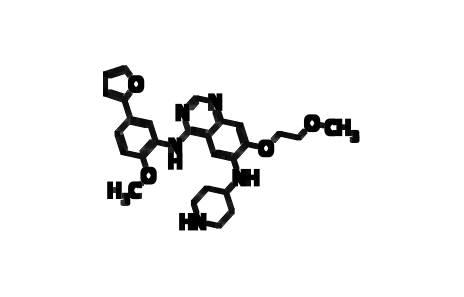 COCCOc1cc2ncnc(Nc3cc(-c4ccco4)ccc3OC)c2cc1NC1CCNCC1